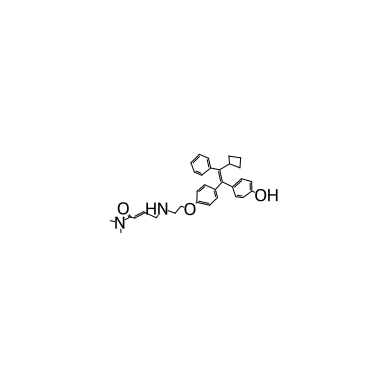 CN(C)C(=O)C=CCNCCOc1ccc(C(=C(c2ccccc2)C2CCC2)c2ccc(O)cc2)cc1